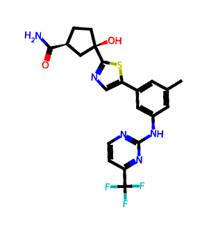 Cc1cc(Nc2nccc(C(F)(F)F)n2)cc(-c2cnc([C@@]3(O)CC[C@H](C(N)=O)C3)s2)c1